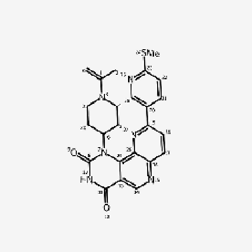 C=C(C)N1CCC(n2c(=O)[nH]c(=O)c3cnc4ccc(-c5ccc(SC)nc5)nc4c32)CC1